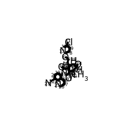 C[C@]12O[C@](CCOc3ccc(Cl)cn3)([C@@H]3C(=O)N(c4ccc(C#N)c5ncccc45)C(=O)[C@@H]31)[C@H]1O[C@H]12